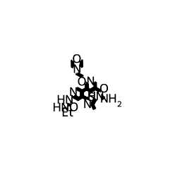 CCNC(=O)Nc1cc(-c2nc(C)cs2)c(-c2cc(C(=O)NN)cnc2OCCN2CCOCC2)cn1